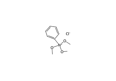 CO[N+](OC)(OC)c1ccccc1.[Cl-]